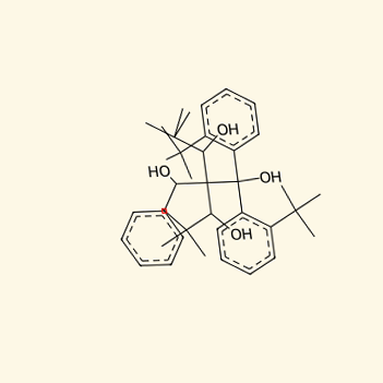 CC(C)(C)c1ccccc1C(O)(c1ccccc1C(C)(C)C)C(C(O)c1ccccc1)(C(O)C(C)(C)C)C(O)C(C)(C)C